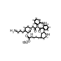 CC(C)(C)OC(=O)NCCCC1CCNCC1.NCCCC1CCN(CC(=O)N2C(=O)c3ccccc3Nc3ncccc32)CC1